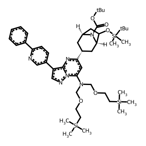 CC(C)(C)OC(=O)N1[C@@H]2CC(O[Si](C)(C)C(C)(C)C)[C@H]1C[C@H](c1cc(N(COCC[Si](C)(C)C)COCC[Si](C)(C)C)n3ncc(-c4ccc(-c5ccccc5)nc4)c3n1)C2